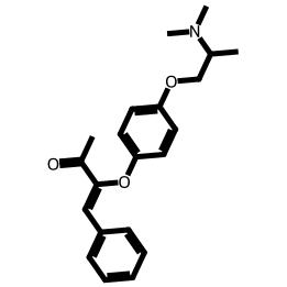 CC(=O)C(=Cc1ccccc1)Oc1ccc(OCC(C)N(C)C)cc1